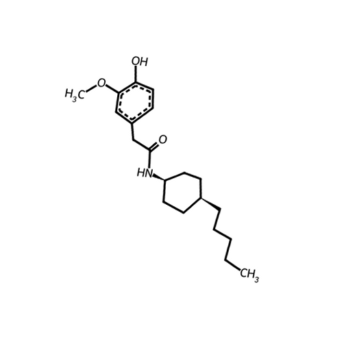 CCCCC[C@H]1CC[C@@H](NC(=O)Cc2ccc(O)c(OC)c2)CC1